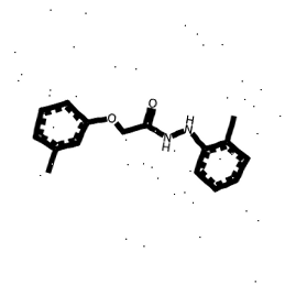 Cc1cccc(OCC(=O)NNc2ccccc2C)c1